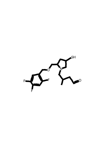 CC(CC=O)CN1CC(S)CC1COCc1cc(F)c(F)cc1F